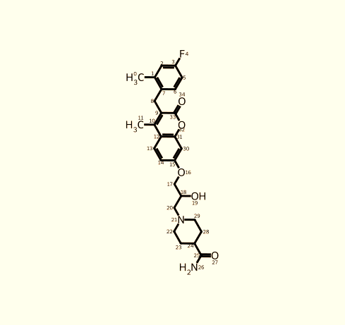 Cc1cc(F)ccc1Cc1c(C)c2ccc(OCC(O)CN3CCC(C(N)=O)CC3)cc2oc1=O